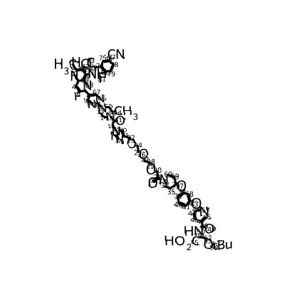 Cc1nc2cc(F)c(-c3cnc(N4CCN(C(=O)Cn5cc(COCCOCCOCC(=O)N6CCC(Oc7cccc(Oc8ccc(C(=O)N[C@@H](COC(C)(C)C)C(=O)O)cn8)c7)CC6)nn5)[C@H](C)C4)nc3)nc2c(N[C@H](C)c2cc(C#N)ccc2F)c1Cl